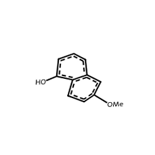 COc1ccc2c(O)cccc2c1